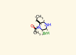 Br.CC=C1CNCCN1C(C)=O